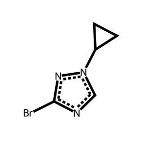 Brc1ncn(C2CC2)n1